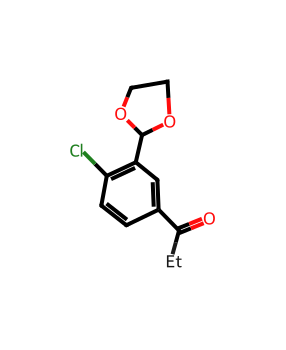 CCC(=O)c1ccc(Cl)c(C2OCCO2)c1